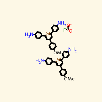 COc1ccc(-c2cc(-c3ccc(N)cc3)[s+]c(-c3ccc(N)cc3)c2)cc1.COc1ccc(-c2cc(-c3ccc(N)cc3)[s+]c(-c3ccc(N)cc3)c2)cc1.[O-]B([O-])F